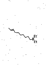 CC=CCCCCCCCB(CC)CC